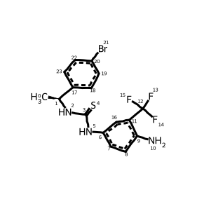 C[C@H](NC(=S)Nc1ccc(N)c(C(F)(F)F)c1)c1ccc(Br)cc1